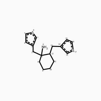 NC1(Cc2ccsc2)CCCCC1Cc1ccsc1